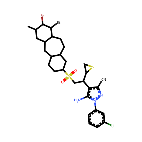 CCC1C(Br)C(C)CC2CC3CCC(S(=O)(=O)CC(c4c(C#N)nn(-c5cccc(Cl)c5)c4N)C4CS4)CC3CCC21